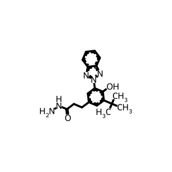 CC(C)(C)c1cc(CCC(=O)NN)cc(-n2nc3ccccc3n2)c1O